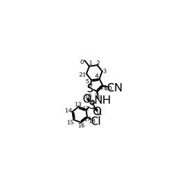 CC1CCc2c(sc(NS(=O)(=O)c3ccccc3Cl)c2C#N)C1